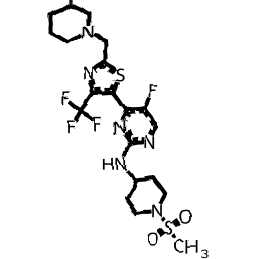 CS(=O)(=O)N1CCC(Nc2ncc(F)c(-c3sc(CN4CCCCC4)nc3C(F)(F)F)n2)CC1